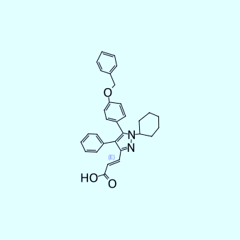 O=C(O)/C=C/c1nn(C2CCCCC2)c(-c2ccc(OCc3ccccc3)cc2)c1-c1ccccc1